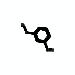 CCOc1cccc(OC)c1